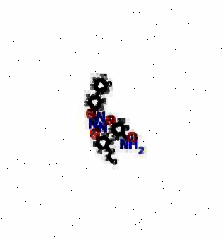 CCCc1ccc(Oc2nc(Oc3ccc(C(N)=O)cc3)nc(Oc3ccc(-c4ccccc4)cc3)n2)cc1